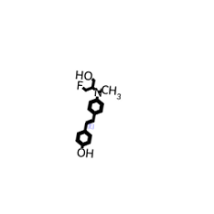 CN(c1ccc(/C=C/c2ccc(O)cc2)cc1)C(CO)CF